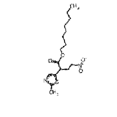 CCCCCCCCOC(=O)C(CC[N+](=O)[O-])c1cnc(C)s1